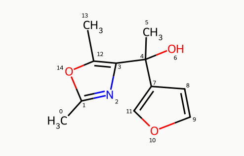 Cc1nc(C(C)(O)c2ccoc2)c(C)o1